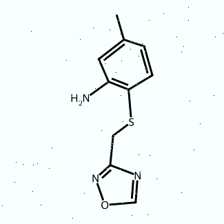 Cc1ccc(SCc2ncon2)c(N)c1